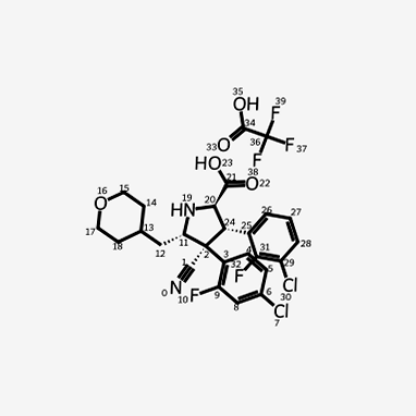 N#C[C@]1(c2ccc(Cl)cc2F)[C@H](CC2CCOCC2)N[C@@H](C(=O)O)[C@@H]1c1cccc(Cl)c1F.O=C(O)C(F)(F)F